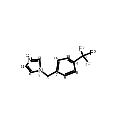 FC(F)(F)c1ccc(Cn2ccnc2)cc1